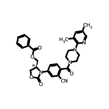 Cc1cnc(N2CCN(C(=O)c3ccc(N4C(=O)OC[C@H]4COC(=O)c4ccccc4)cc3C#N)CC2)c(C)c1